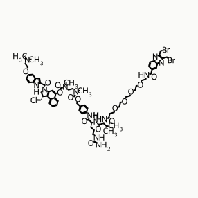 CC(C)[C@H](NC(=O)CCOCCOCCOCCOCCNC(=O)c1ccc2nc(CBr)c(CBr)nc2c1)C(=O)N[C@@H](CCCNC(N)=O)C(=O)Nc1ccc(COC(=O)N(C)CCN(C)C(=O)Oc2cc3c(c4ccccc24)[C@H](CCl)CN3C(=O)c2cc3cc(OCCN(C)C)ccc3[nH]2)cc1